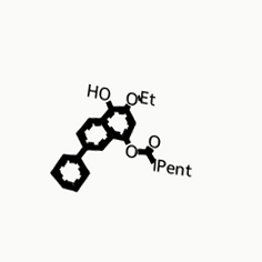 CCCC(C)C(=O)Oc1cc(OCC)c(O)c2ccc(-c3ccccc3)cc12